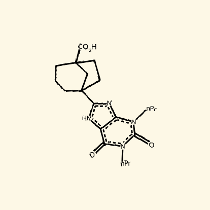 CCCn1c(=O)c2[nH]c(C34CCCC(C(=O)O)(CC3)C4)nc2n(CCC)c1=O